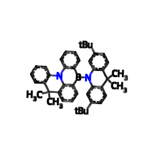 CC(C)(C)c1ccc2c(c1)N(B1c3ccccc3N3c4ccccc4C(C)(C)c4cccc1c43)c1cc(C(C)(C)C)ccc1C2(C)C